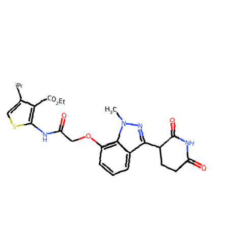 CCOC(=O)c1c(C(C)C)csc1NC(=O)COc1cccc2c(C3CCC(=O)NC3=O)nn(C)c12